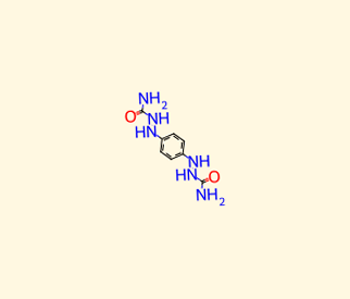 NC(=O)NNc1ccc(NNC(N)=O)cc1